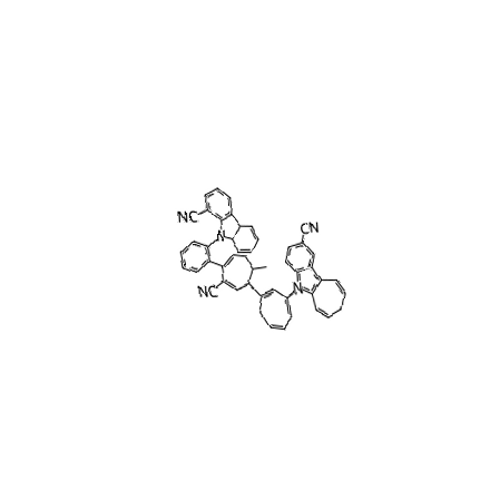 CC1CC=C(c2ccccc2N2c3c(C#N)cccc3C3C=CC=CC32)C(C#N)=CC1C1=CC(n2c3c(c4cc(C#N)ccc42)C=CCC=C3)=CC=CC1